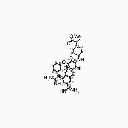 COC(=O)C(C)N1CCC(Nc2c(F)c(Oc3cccc(NC(=N)N)c3)nc(Oc3cc(C(=N)N)ccc3O)c2F)CC1